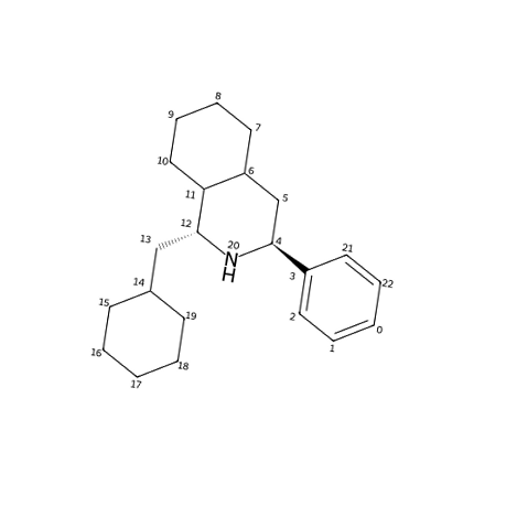 c1ccc([C@@H]2CC3CCCCC3[C@@H](CC3CCCCC3)N2)cc1